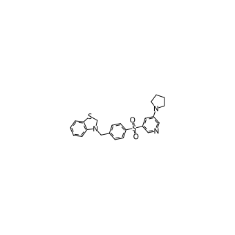 O=S(=O)(c1ccc(CN2CSc3ccccc32)cc1)c1cncc(N2CCCC2)c1